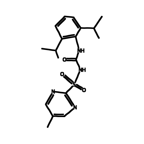 Cc1cnc(S(=O)(=O)NC(=O)Nc2c(C(C)C)cccc2C(C)C)nc1